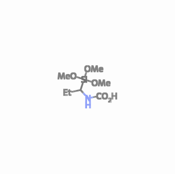 CCC(NC(=O)O)[Si](OC)(OC)OC